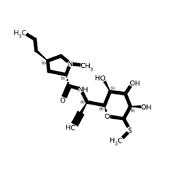 C#C[C@@H](NC(=O)[C@@H]1C[C@@H](CCC)CN1C)[C@H]1OC(SC)[C@H](O)C(O)[C@@H]1O